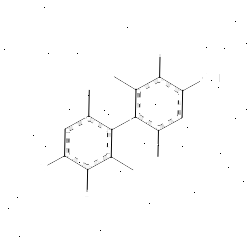 CCc1c(O)cc(C)c(-c2c(C)cc(O)c(CC)c2C)c1C